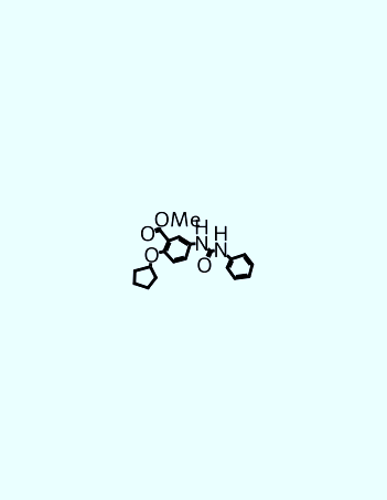 COC(=O)c1cc(NC(=O)Nc2ccccc2)ccc1OC1CCCC1